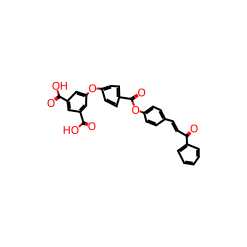 O=C(O)c1cc(Oc2ccc(C(=O)Oc3ccc(C=CC(=O)c4ccccc4)cc3)cc2)cc(C(=O)O)c1